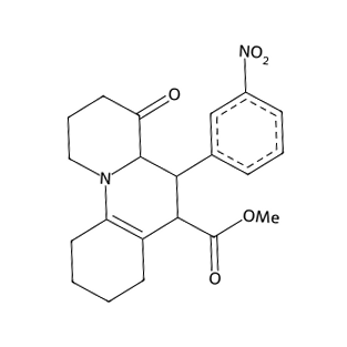 COC(=O)C1C2=C(CCCC2)N2CCCC(=O)C2C1c1cccc([N+](=O)[O-])c1